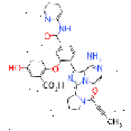 CC#CC(=O)N1CCCC1c1nc(-c2ccc(C(=O)Nc3ccccn3)cc2Oc2ccc(O)cc2C(=O)O)c2c(N)nccn12